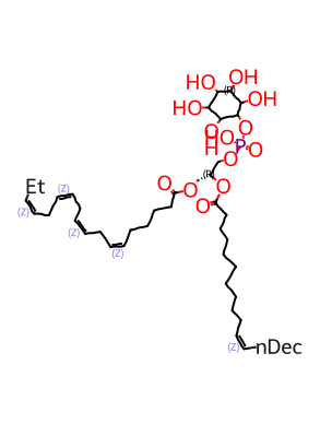 CC/C=C\C/C=C\C/C=C\C/C=C\CCCCC(=O)OC[C@H](COP(=O)(O)OC1C(O)C(O)C(O)[C@@H](O)C1O)OC(=O)CCCCCCCCC/C=C\CCCCCCCCCC